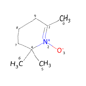 CC1=[N+]([O-])C(C)(C)CCC1